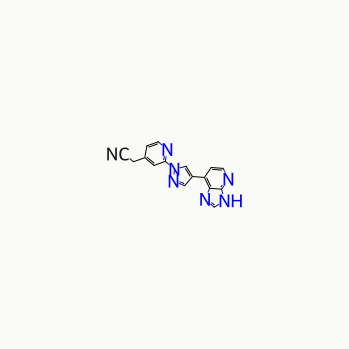 N#CCc1ccnc(-n2cc(-c3ccnc4[nH]cnc34)cn2)c1